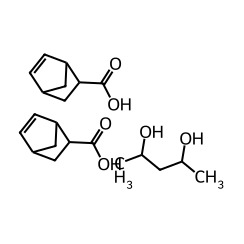 CC(O)CC(C)O.O=C(O)C1CC2C=CC1C2.O=C(O)C1CC2C=CC1C2